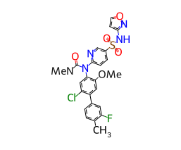 CNC(=O)N(c1ccc(S(=O)(=O)Nc2ccon2)cn1)c1cc(Cl)c(-c2ccc(C)c(F)c2)cc1OC